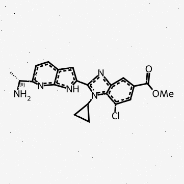 COC(=O)c1cc(Cl)c2c(c1)nc(-c1cc3ccc([C@@H](C)N)nc3[nH]1)n2C1CC1